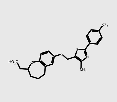 Cc1nc(-c2ccc(C(F)(F)F)cc2)sc1CSc1ccc2c(c1)CCCC(CC(=O)O)O2